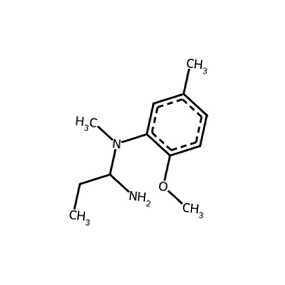 CCC(N)N(C)c1cc(C)ccc1OC